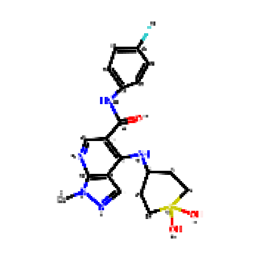 CCn1ncc2c(NC3CCS(O)(O)CC3)c(C(=O)Nc3ccc(F)cc3)cnc21